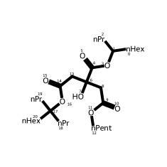 CCCCCCC(CCC)OC(=O)C(O)(CC(=O)OCCCCC)CC(=O)OC(CCC)(CCC)CCCCCC